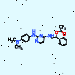 CN(C)c1ccc(Nc2nccc(NCC(OC(=O)C(F)(F)F)c3ccccc3)n2)cc1